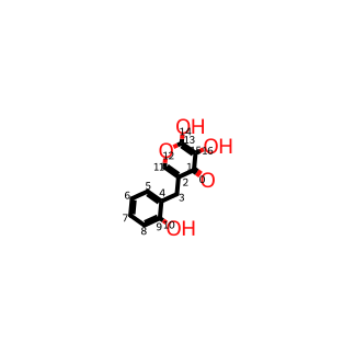 O=c1c(Cc2ccccc2O)coc(O)c1O